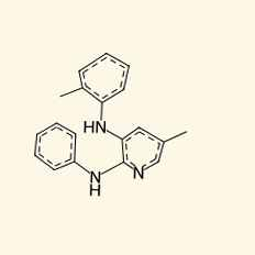 Cc1cnc(Nc2ccccc2)c(Nc2ccccc2C)c1